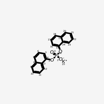 O=P([O-])(Oc1cccc2ccccc12)Oc1cccc2ccccc12.[K+]